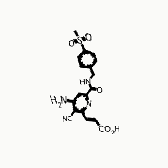 CS(=O)(=O)c1ccc(CNC(=O)c2cc(N)c(C#N)c(C=CC(=O)O)n2)cc1